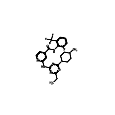 CCc1nc(Nc2cc(C(=O)Nc3c(F)cccc3C(F)(F)F)ccn2)nc(N2CCN(C)CC2)n1